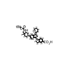 CC1(CNC(=O)OC(C)(C)C)CCN(c2cnc3c(N4CCc5cc(C(=O)O)ccc54)nn(C4CCCCO4)c3n2)CC1